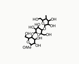 COC1OC(CO)C(OC2OC(CO)C(OC3OC(CO)C(C)C(O)C3O)C(O)C2O)C(O)C1O